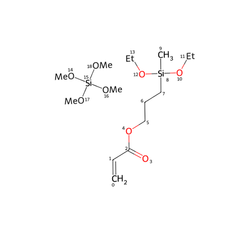 C=CC(=O)OCCC[Si](C)(OCC)OCC.CO[Si](OC)(OC)OC